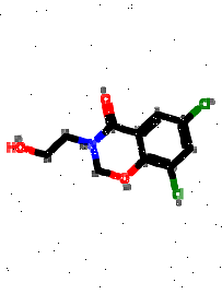 O=C1c2cc(Cl)cc(Cl)c2OCN1CCO